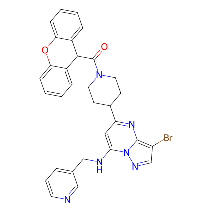 O=C(C1c2ccccc2Oc2ccccc21)N1CCC(c2cc(NCc3cccnc3)n3ncc(Br)c3n2)CC1